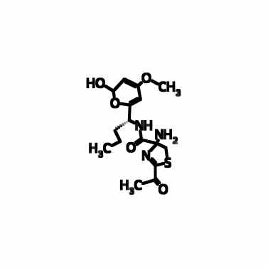 CCC[C@@H](NC(=O)[C@]1(N)CSC(C(C)=O)=N1)C1=CC(OC)=CC(O)O1